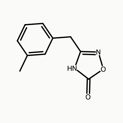 Cc1cccc(Cc2noc(=O)[nH]2)c1